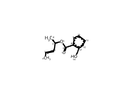 CC=CC(C)OC(=O)c1ccccc1O